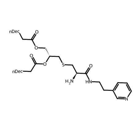 CCCCCCCCCCCC(=O)OC[C@H](CSC[C@H](N)C(=O)NCCc1cccnc1)OC(=O)CCCCCCCCCCC